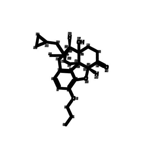 CCCOc1ccc2c3c1O[C@H]1C(=O)CCC4(O)[C@@H](C2)[N+](C)(CC2CC2)CC[C@]314